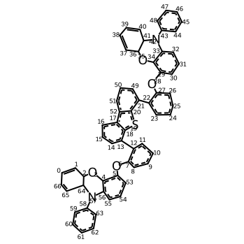 C1=CC2Oc3c(Oc4ccccc4-c4cccc5c4sc4c(-c6ccccc6Oc6cccc7c6OC6C=CC=CC6N7c6ccccc6)cccc45)cccc3N(c3ccccc3)C2C=C1